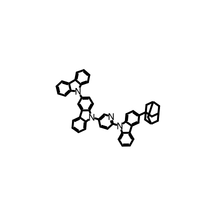 c1ccc2c(c1)c1ccccc1n2-c1ccc2c(c1)c1ccccc1n2-c1ccc(-n2c3ccccc3c3cc(C45CC6CC(CC(C6)C4)C5)ccc32)nc1